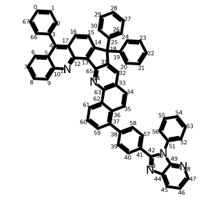 c1ccc(-c2c3ccccc3nc3c4c(ccc23)C(c2ccccc2)(c2ccccc2)c2cc3ccc5c(-c6ccc(-c7nc8cccnc8n7-c7ccccc7)cc6)cccc5c3nc2-4)cc1